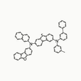 Cc1cccc(N(c2cccc(-c3ccccc3)c2)c2ccc3sc4cc(N(c5ccc6ccccc6c5)c5ccc6oc7ccccc7c6c5)ccc4c3c2)c1